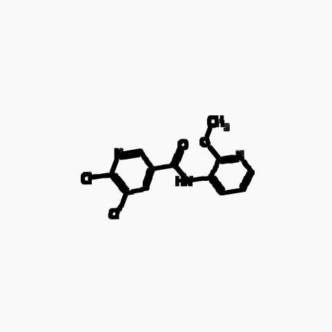 COc1ncccc1NC(=O)c1cnc(Cl)c(Cl)c1